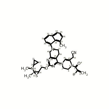 C=C(F)C(=O)N1CCN(c2nc(OCC3S[C@]3(C)N(C)C3CC3)nc3c2CCN(c2cccc4cccc(C)c24)C3)C=C1CC#N